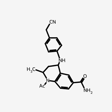 CC(=O)N1c2ccc(C(N)=O)cc2C(Nc2ccc(CC#N)cc2)CC1C